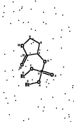 CCOP(=O)(OCC)OC1CCOC1=O